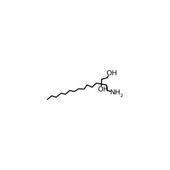 CCCCCCCCCCCCC(O)(CCN)CCO